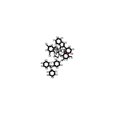 Cc1cc(C)c(N2CCN(c3c(C)cc(C)cc3C)[C]2=[Ru]([Cl])([Cl])=[C]2C(c3ccccc3)=Cc3ccccc32)c(C)c1.c1ccc(P(c2ccccc2)c2ccccc2)cc1